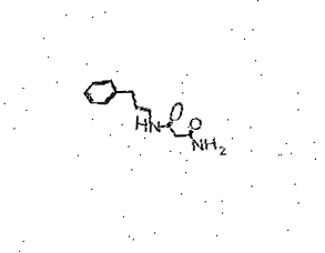 NC(=O)CC(=O)NCCCc1ccccc1